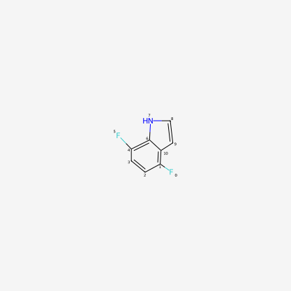 Fc1ccc(F)c2[nH]ccc12